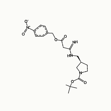 CC(C)(C)OC(=O)N1CC[C@H](CNC(=N)CC(=O)OCc2ccc([N+](=O)[O-])cc2)C1